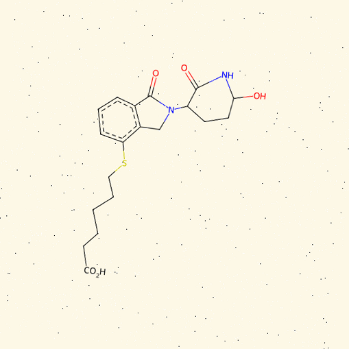 O=C(O)CCCCCSc1cccc2c1CN(C1CCC(O)NC1=O)C2=O